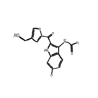 CCC(=O)Nc1c(C(=O)c2cc(CO)co2)[nH]c2cc(Cl)ccc12